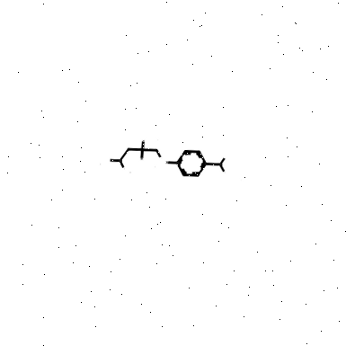 CC(O)CC(C)(C)COc1ccc(C(C)C)cc1